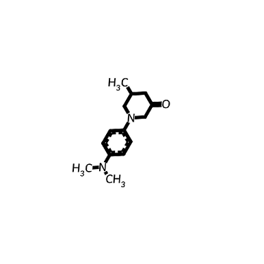 CC1CC(=O)CN(c2ccc(N(C)C)cc2)C1